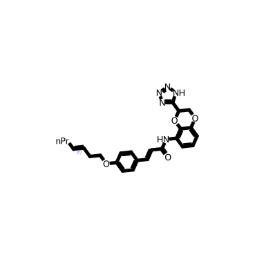 CCC/C=C/CCOc1ccc(C=CC(=O)Nc2cccc3c2OC(c2nnn[nH]2)CO3)cc1